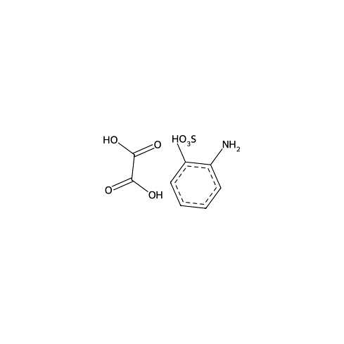 Nc1ccccc1S(=O)(=O)O.O=C(O)C(=O)O